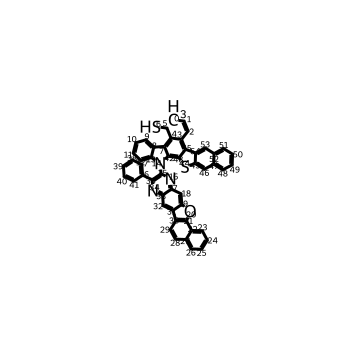 C/C=C\c1c(CS)c2c3ccccc3n(-c3nc4cc5oc6c7ccccc7ccc6c5cc4nc3-c3ccccc3)c2c2sc3cc4ccccc4cc3c12